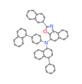 c1ccc(-c2ccc(N(c3ccc(-c4cccc5ccccc45)cc3)c3cc4ccccc4c4nc(-c5ccc6ccccc6c5)oc34)c3ccccc23)cc1